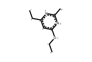 CCOc1cc(CC)nc(C)n1